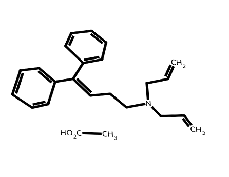 C=CCN(CC=C)CCC=C(c1ccccc1)c1ccccc1.CC(=O)O